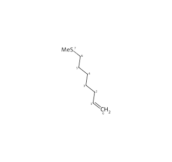 C=CCCCCCSC